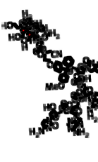 COc1ccc(C(OC[C@H]2O[C@@H](n3cc(C)c(=O)[nH]c3=O)C[C@H]2OP(=O)(O)OC[C@H]2O[C@@H](n3cnc4c(=O)[nH]c(N)nc43)C[C@H]2OP(=O)(O)OC[C@H]2O[C@@H](n3cnc4c(N)ncnc43)C[C@H]2OP(=O)(O)OC[C@H]2O[C@@H](n3ccc(N)nc3=O)C[C@H]2O)(c2ccccc2)c2ccc(OCCCOP(=O)(OCCC#N)OC[SiH]3O[SiH2]O[SiH]4O[SiH]5O[SiH2]O[SiH](CCO)O[Si](CCO)(O5)O[Si](CCO)(O3)O4)cc2)cc1